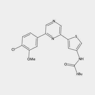 CCCCC(=O)Nc1csc(-c2cncc(-c3ccc(Cl)c(OC)c3)n2)c1